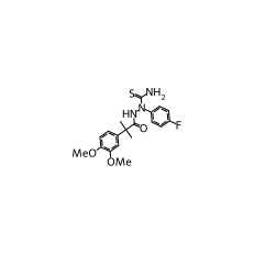 COc1ccc(C(C)(C)C(=O)NN(C(N)=S)c2ccc(F)cc2)cc1OC